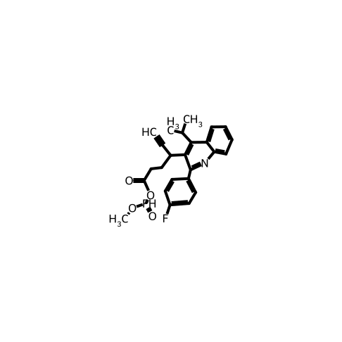 C#CC(CCC(=O)O[PH](=O)OC)c1c(-c2ccc(F)cc2)nc2ccccc2c1C(C)C